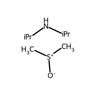 CC(C)NC(C)C.C[S+](C)[O-]